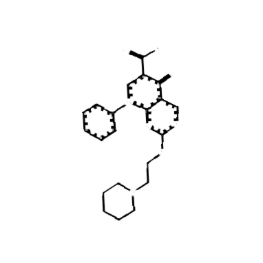 NC(=O)c1cn(-c2ccccc2)c2nc(NCCN3CCCCC3)ncc2c1=O